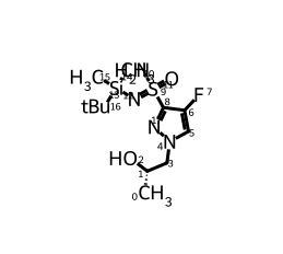 C[C@H](O)Cn1cc(F)c(S(N)(=O)=N[Si](C)(C)C(C)(C)C)n1